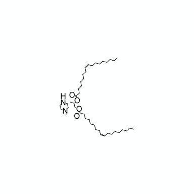 CCCCCCCC/C=C\CCCCCCCC(=O)OCC(C)OC(=O)CCCCCCC/C=C\CCCCCCCC.CN1CCNCC1